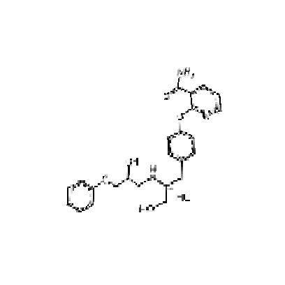 Cl.NC(=O)c1cccnc1Oc1ccc(C[C@@H](CO)NCC(O)COc2ccccc2)cc1